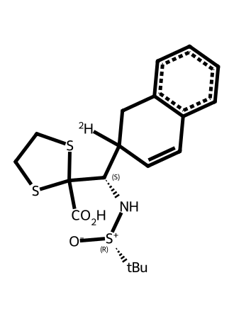 [2H]C1([C@H](N[S@@+]([O-])C(C)(C)C)C2(C(=O)O)SCCS2)C=Cc2ccccc2C1